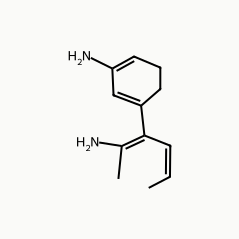 C/C=C\C(C1=CC(N)=CCC1)=C(/C)N